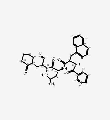 CC(C)C[C@H](NC(=O)C(Cc1cccc2ccccc12)NC(=O)c1cnccn1)C(=O)N[C@H](C=O)C[C@@H]1CCCNC1=O